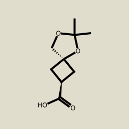 CC1(C)OC[C@]2(C[C@H](C(=O)O)C2)O1